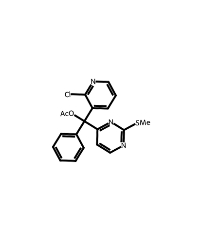 CSc1nccc(C(OC(C)=O)(c2ccccc2)c2cccnc2Cl)n1